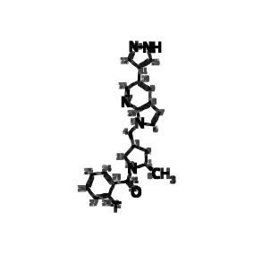 C[C@@H]1C[C@H](Cn2ccc3cc(-c4cn[nH]c4)cnc32)CN1C(=O)c1ccccc1F